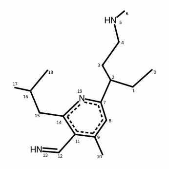 CCC(CCNC)c1cc(C)c(C=N)c(CC(C)C)n1